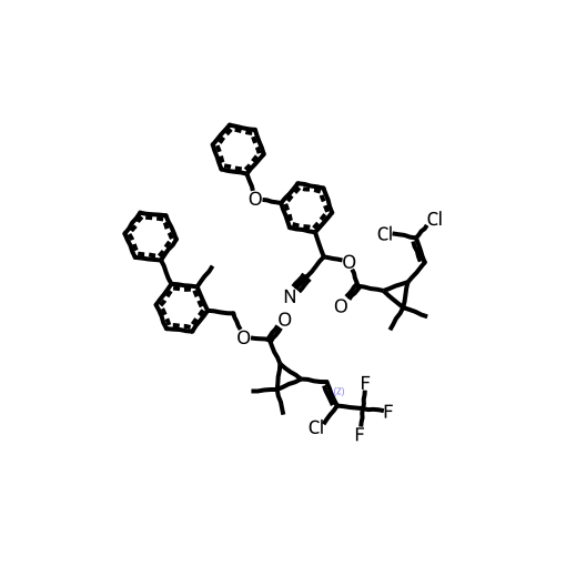 CC1(C)C(C=C(Cl)Cl)C1C(=O)OC(C#N)c1cccc(Oc2ccccc2)c1.Cc1c(COC(=O)C2C(/C=C(\Cl)C(F)(F)F)C2(C)C)cccc1-c1ccccc1